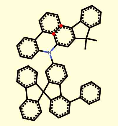 CC1(C)c2ccccc2-c2ccc(N(c3ccc4c(c3)C3(c5ccccc5-c5ccccc53)c3cccc(-c5ccccc5)c3-4)c3ccccc3-c3ccccc3)cc21